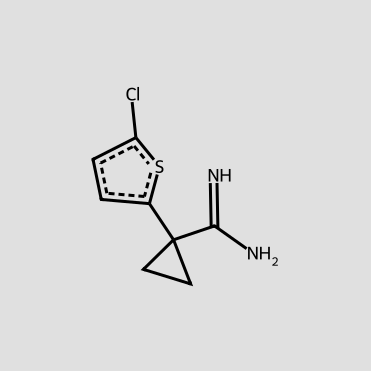 N=C(N)C1(c2ccc(Cl)s2)CC1